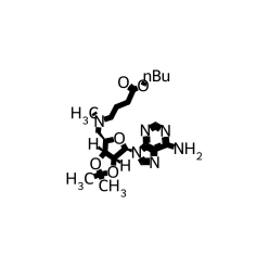 CCCCOC(=O)CCCN(C)C[C@H]1O[C@@H](n2cnc3c(N)ncnc32)[C@@H]2OC(C)(C)O[C@@H]21